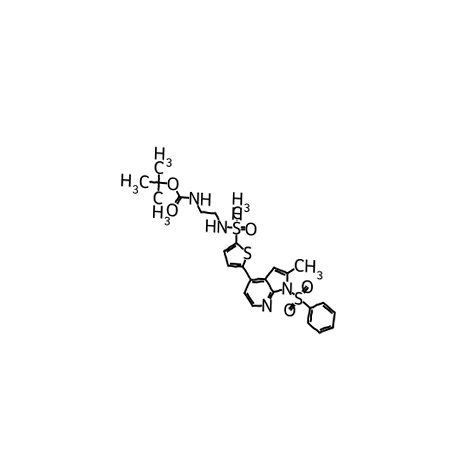 Cc1cc2c(-c3ccc([SH](C)(=O)NCCNC(=O)OC(C)(C)C)s3)ccnc2n1S(=O)(=O)c1ccccc1